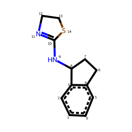 c1ccc2c(c1)CCC2NC1=NCCS1